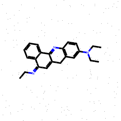 CC/N=C1/C=C2Cc3cc(N(CC)CC)ccc3N=C2c2ccccc21